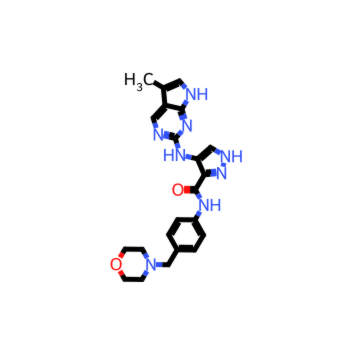 Cc1c[nH]c2nc(Nc3c[nH]nc3C(=O)Nc3ccc(CN4CCOCC4)cc3)ncc12